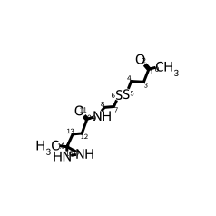 CC(=O)CCSSCCNC(=O)CCC1(C)NN1